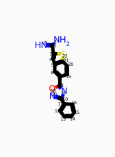 N=C(N)c1cc2cc(-c3nc(-c4ccccc4)no3)ccc2s1